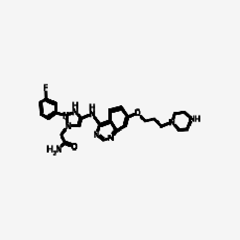 NC(=O)CN1C=C(Nc2ncnc3cc(OCCCN4CCNCC4)ccc23)NN1c1cccc(F)c1